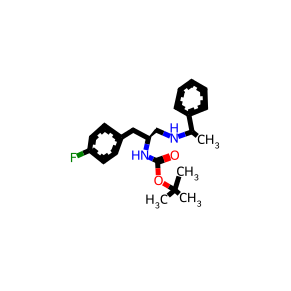 CC(NC[C@H](Cc1ccc(F)cc1)NC(=O)OC(C)(C)C)c1ccccc1